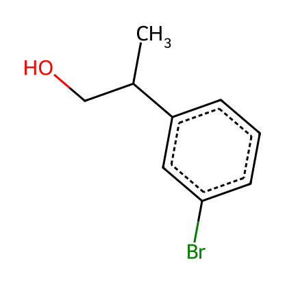 CC(CO)c1cccc(Br)c1